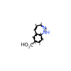 O=C(O)c1ccc2c(c1)C=CC=NN2